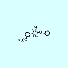 CC(NC(=O)OCc1ccccc1)C(=O)c1cccc(OC(F)(F)F)c1